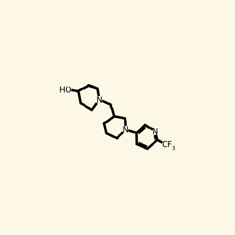 OC1CCN(CC2CCCN(c3ccc(C(F)(F)F)nc3)C2)CC1